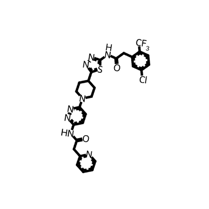 O=C(Cc1ccccn1)Nc1ccc(N2CCC(c3nnc(NC(=O)Cc4cc(Cl)ccc4C(F)(F)F)s3)CC2)nn1